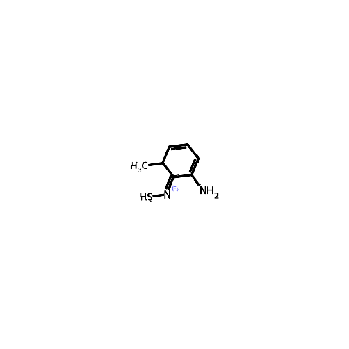 CC1C=CC=C(N)/C1=N/S